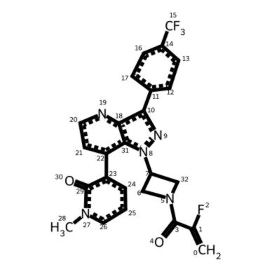 C=C(F)C(=O)N1CC(n2nc(-c3ccc(C(F)(F)F)cc3)c3nccc(-c4cccn(C)c4=O)c32)C1